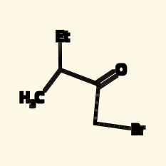 CCC(C)C(=O)CBr